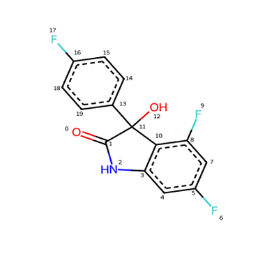 O=C1Nc2cc(F)cc(F)c2C1(O)c1ccc(F)cc1